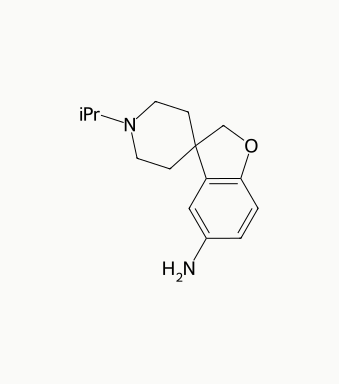 CC(C)N1CCC2(CC1)COc1ccc(N)cc12